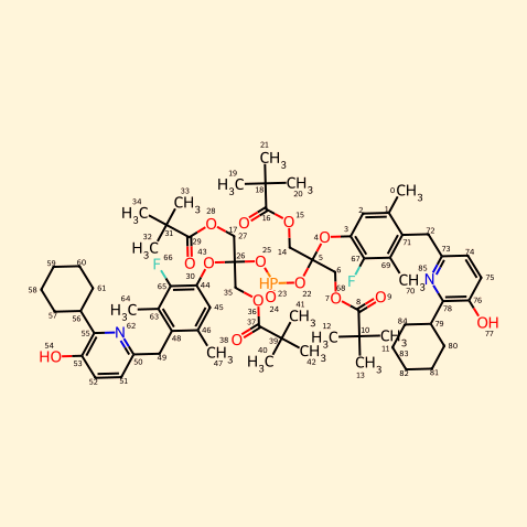 Cc1cc(OC(COC(=O)C(C)(C)C)(COC(=O)C(C)(C)C)O[PH](=O)OC(COC(=O)C(C)(C)C)(COC(=O)C(C)(C)C)Oc2cc(C)c(Cc3ccc(O)c(C4CCCCC4)n3)c(C)c2F)c(F)c(C)c1Cc1ccc(O)c(C2CCCCC2)n1